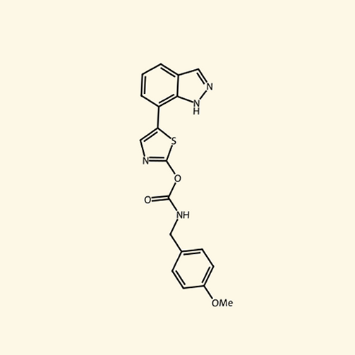 COc1ccc(CNC(=O)Oc2ncc(-c3cccc4cn[nH]c34)s2)cc1